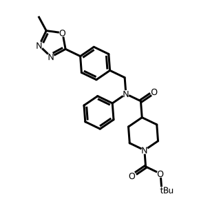 Cc1nnc(-c2ccc(CN(C(=O)C3CCN(C(=O)OC(C)(C)C)CC3)c3ccccc3)cc2)o1